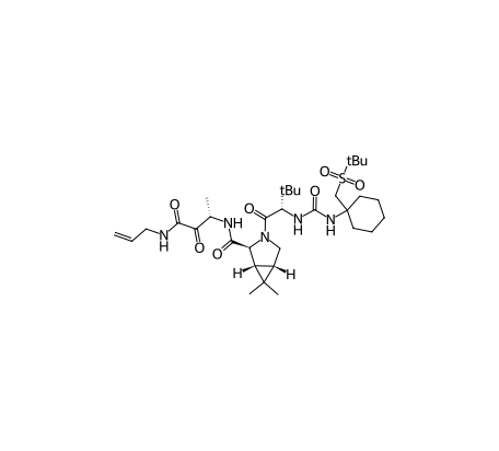 C=CCNC(=O)C(=O)[C@H](C)NC(=O)[C@@H]1[C@@H]2[C@H](CN1C(=O)[C@@H](NC(=O)NC1(CS(=O)(=O)C(C)(C)C)CCCCC1)C(C)(C)C)C2(C)C